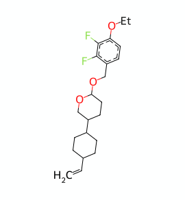 C=CC1CCC(C2CCC(OCc3ccc(OCC)c(F)c3F)OC2)CC1